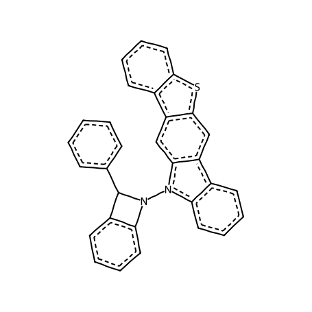 c1ccc(C2c3ccccc3N2n2c3ccccc3c3cc4sc5ccccc5c4cc32)cc1